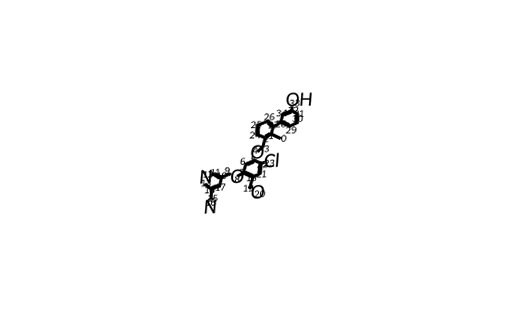 Cc1c(COc2cc(OCc3cncc(C#N)c3)c(C=O)cc2Cl)cccc1-c1cccc(O)c1